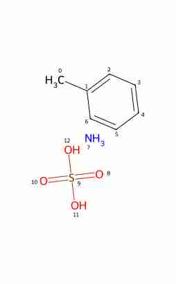 Cc1ccccc1.N.O=S(=O)(O)O